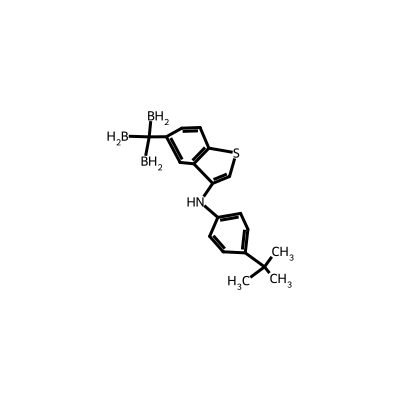 BC(B)(B)c1ccc2scc(Nc3ccc(C(C)(C)C)cc3)c2c1